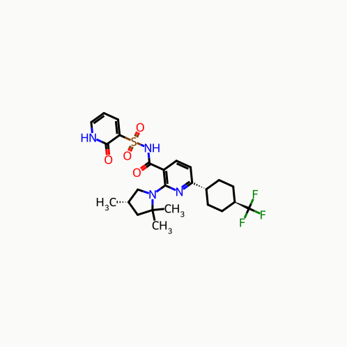 C[C@@H]1CN(c2nc([C@H]3CC[C@H](C(F)(F)F)CC3)ccc2C(=O)NS(=O)(=O)c2ccc[nH]c2=O)C(C)(C)C1